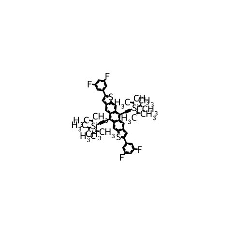 CC(C)[Si](C#Cc1c2cc3cc(-c4cc(F)cc(F)c4)sc3cc2c(C#C[Si](C(C)C)(C(C)C)C(C)C)c2cc3cc(-c4cc(F)cc(F)c4)sc3cc12)(C(C)C)C(C)C